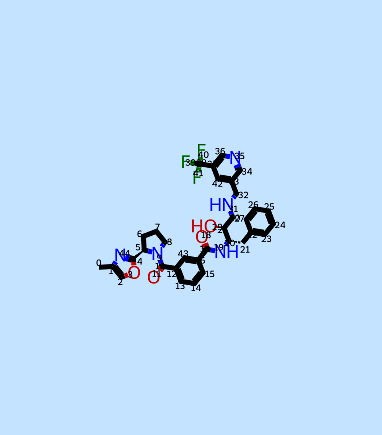 Cc1coc([C@H]2CCCN2C(=O)c2cccc(C(=O)N[C@@H](Cc3ccccc3)[C@H](O)CNCc3cncc(C(F)(F)F)c3)c2)n1